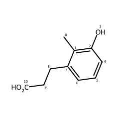 Cc1c(O)cccc1CCC(=O)O